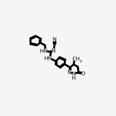 CC1CC(=O)NN=C1c1ccc(NC(=NC#N)NCc2ccccc2)cc1